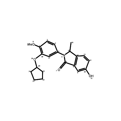 COc1ccc(N2C(=O)c3cc(O)ccc3C2C)cc1OC1CCCC1